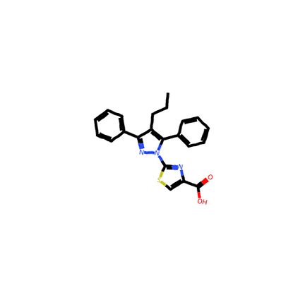 CCCc1c(-c2ccccc2)nn(-c2nc(C(=O)O)cs2)c1-c1ccccc1